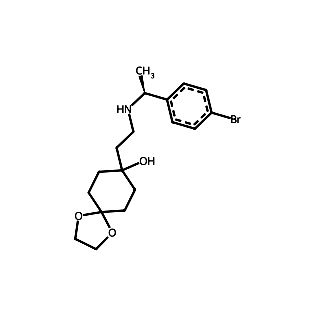 C[C@H](NCCC1(O)CCC2(CC1)OCCO2)c1ccc(Br)cc1